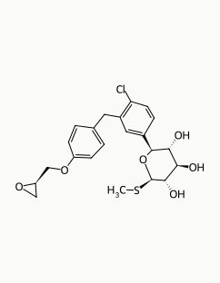 CS[C@H]1O[C@@H](c2ccc(Cl)c(Cc3ccc(OC[C@H]4CO4)cc3)c2)[C@H](O)[C@@H](O)[C@@H]1O